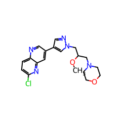 COC(CN1CCOCC1)Cn1cc(-c2cnc3ccc(Cl)nc3c2)cn1